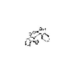 O=C(O)C(c1ccccc1)N1C(=O)c2ccccc2C1=O